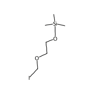 C[Si](C)(C)OCCOCI